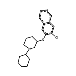 Clc1cc2cnccc2cc1SC1CCCN(C2CCCCC2)C1